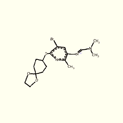 Cc1nc(OC2CCC3(CC2)OCCO3)c(Br)cc1/N=C/N(C)C